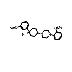 COc1cccc(C2(C#N)CCC(N3CCN(c4ccccc4OC)CC3)CC2)c1